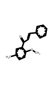 COc1ccc(C)cc1C(=O)/C=C/c1ccccc1